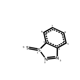 S=S1N=Nc2ccccc21